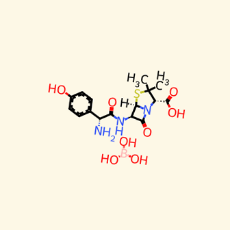 CC1(C)S[C@@H]2[C@H](NC(=O)[C@H](N)c3ccc(O)cc3)C(=O)N2[C@H]1C(=O)O.OB(O)O